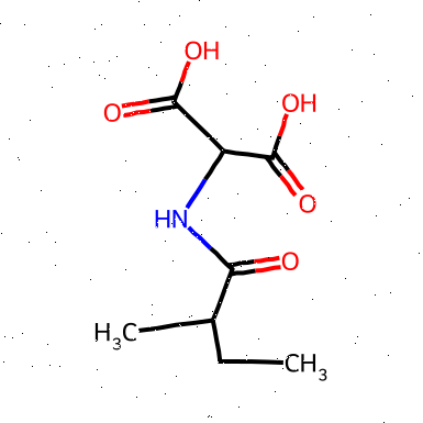 CCC(C)C(=O)NC(C(=O)O)C(=O)O